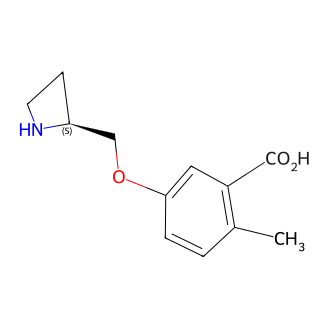 Cc1ccc(OC[C@@H]2CCN2)cc1C(=O)O